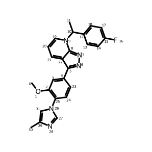 COc1cc(-c2nnc3n(C(C)c4ccc(F)cc4)cccc2-3)ccc1-n1cnc(C)c1